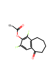 CC(C)(C)C(=O)Oc1c(F)cc2c(c1F)CCCCC2=O